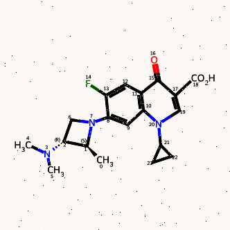 C[C@H]1[C@H](N(C)C)CN1c1cc2c(cc1F)c(=O)c(C(=O)O)cn2C1CC1